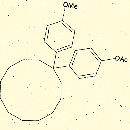 COc1ccc(C2(c3ccc(OC(C)=O)cc3)CCCCCCCCCCC2)cc1